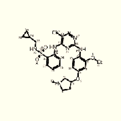 CCOc1cc(OC2CCN(C)C2)ccc1Nc1ncc(Cl)c(Nc2ccccc2S(=O)(=O)NCC2CC2)n1